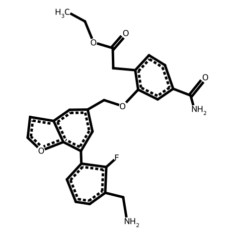 CCOC(=O)Cc1ccc(C(N)=O)cc1OCc1cc(-c2cccc(CN)c2F)c2occc2c1